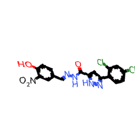 O=C(N/N=C/c1ccc(O)c([N+](=O)[O-])c1)c1cc(-c2ccc(Cl)cc2Cl)n[nH]1